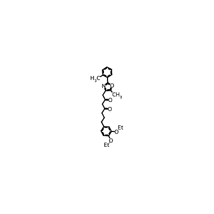 CCOc1ccc(CCCC(=O)CC(=O)Cc2nc(-c3ccccc3C)oc2C)cc1OCC